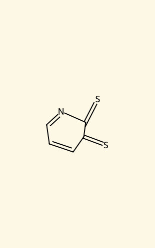 S=C1C=CC=NC1=S